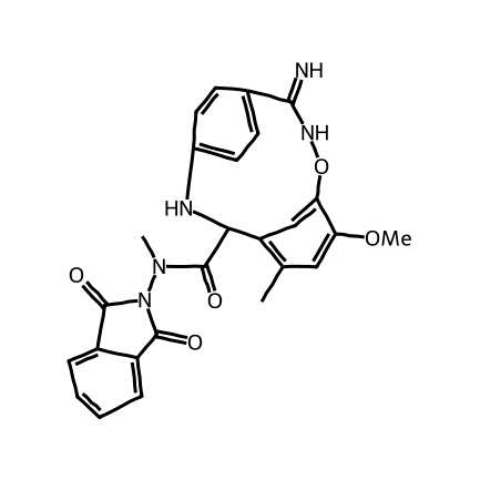 COc1cc(C)c2cc1ONC(=N)c1ccc(cc1)NC2C(=O)N(C)N1C(=O)c2ccccc2C1=O